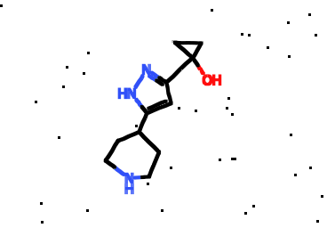 OC1(c2cc(C3CCNCC3)[nH]n2)CC1